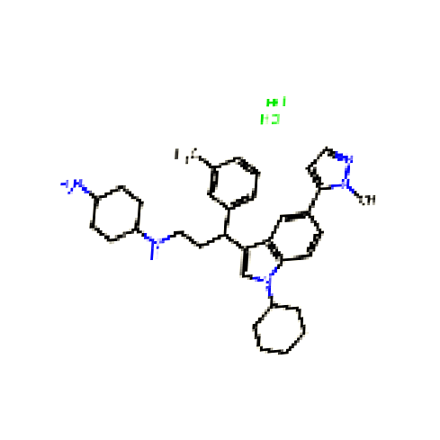 Cc1cccc(C(CCNC2CCC(N)CC2)c2cn(C3CCCCC3)c3ccc(-c4ccnn4C)cc23)c1.Cl.Cl